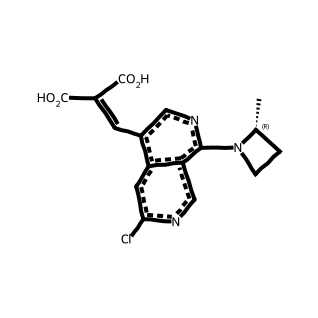 C[C@@H]1CCN1c1ncc(C=C(C(=O)O)C(=O)O)c2cc(Cl)ncc12